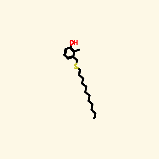 CCCCCCCCCCCCSCc1cccc(O)c1C